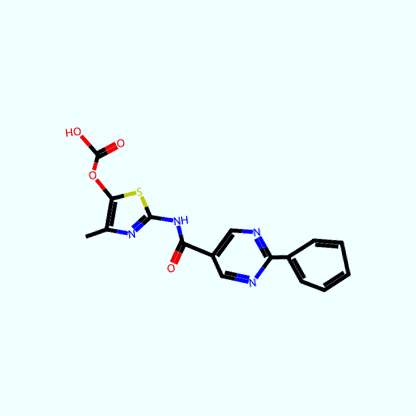 Cc1nc(NC(=O)c2cnc(-c3ccccc3)nc2)sc1OC(=O)O